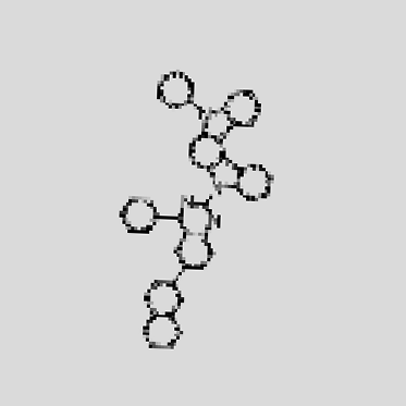 c1ccc(-c2nc(-n3c4ccccc4c4c5c6ccccc6n(-c6ccccc6)c5ccc43)nc3ccc(-c4ccc5ccccc5c4)cc23)cc1